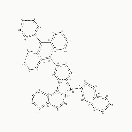 c1ccc(-c2c3ccccc3c(-c3ccc4c(c3)c3c5ccccc5ccc3n4-c3ccc4ccccc4c3)c3ccccc23)cc1